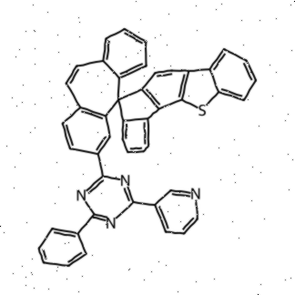 C1=Cc2ccc(-c3nc(-c4ccccc4)nc(-c4cccnc4)n3)cc2C2(c3ccccc31)c1ccccc1-c1c2ccc2c1sc1ccccc12